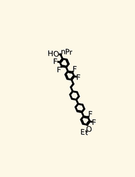 CCCC(O)c1ccc(-c2ccc(CCC3CCC(C4CC=C(c5ccc(OCC)c(F)c5F)CC4)CC3)c(F)c2F)c(F)c1F